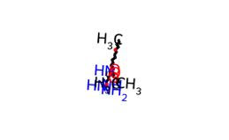 CCCCCCCCCCCC(=O)N[C@@H](CCCNC(=N)N)C(=O)OCC(C)C